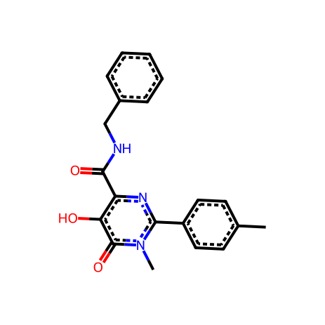 Cc1ccc(-c2nc(C(=O)NCc3ccccc3)c(O)c(=O)n2C)cc1